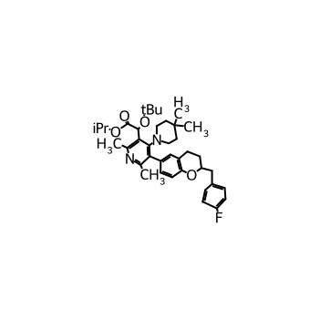 Cc1nc(C)c(C(OC(C)(C)C)C(=O)OC(C)C)c(N2CCC(C)(C)CC2)c1-c1ccc2c(c1)CCC(Cc1ccc(F)cc1)O2